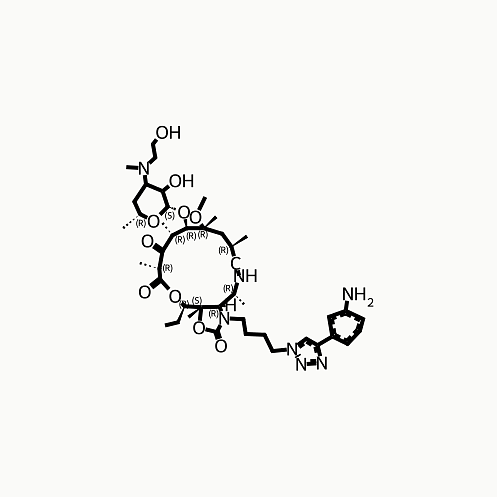 CC[C@H]1OC(=O)[C@H](C)C(=O)[C@H](C)[C@@H](O[C@@H]2O[C@H](C)CC(N(C)CCO)C2O)[C@](C)(OC)C[C@@H](C)CN[C@H](C)[C@H]2N(CCCCn3cc(-c4cccc(N)c4)nn3)C(=O)O[C@]12C